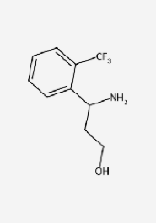 NC(CCO)c1ccccc1C(F)(F)F